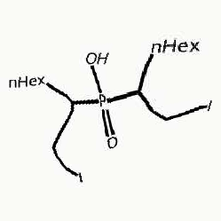 CCCCCCC(CI)P(=O)(O)C(CI)CCCCCC